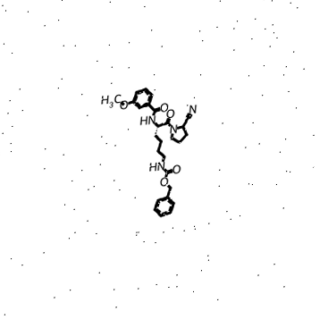 COc1cccc(C(=O)N[C@@H](CCCCNC(=O)OCc2ccccc2)C(=O)N2CCCC2C#N)c1